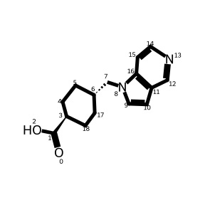 O=C(O)[C@H]1CC[C@H](Cn2ccc3cnccc32)CC1